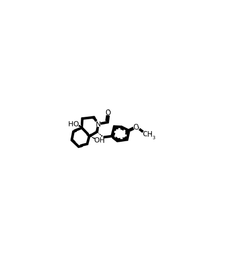 COc1ccc(C[C@H]2N(C=O)CC[C@@]3(O)CCCC[C@]23O)cc1